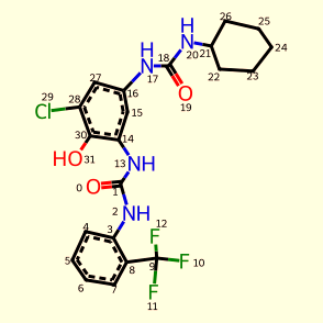 O=C(Nc1ccccc1C(F)(F)F)Nc1cc(NC(=O)NC2CCCCC2)cc(Cl)c1O